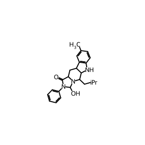 Cc1ccc2c(c1)C1CC3C(=O)N(c4ccccc4)C(O)N3C(CC(C)C)C1N2